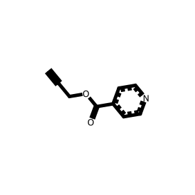 C#CCOC(=O)c1ccncc1